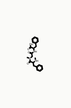 CNC(Cc1ccccc1)C(=O)N(C)CC(=O)NC(Cc1ccccc1)C(=O)O